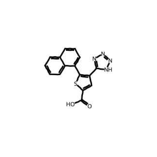 O=C(O)c1cc(-c2nnn[nH]2)c(-c2cccc3ccccc23)s1